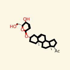 CC(=O)[C@H]1CCC2C3CC=C4C[C@@H](OC5C=C[C@H](O)[C@@H](CO)O5)CC[C@]4(C)C3CC[C@@]21C